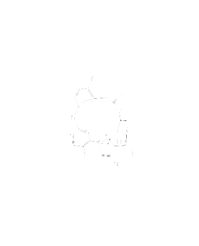 NC(=O)[C@H]1[C@H]2C[C@H]3[C@H]1Nc1nc(ncc1F)Nc1ccc(F)c(c1)CC(=O)O[C@@H]3C2